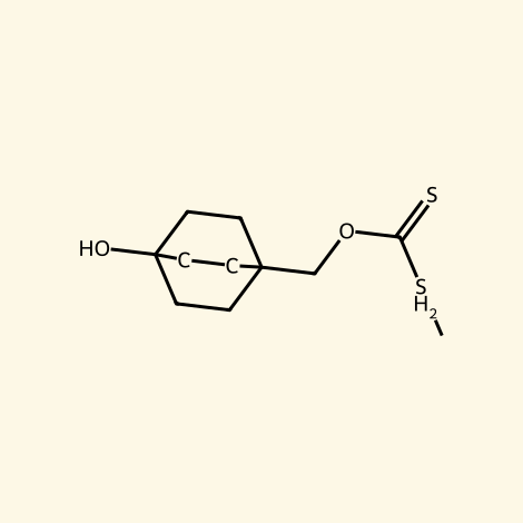 C[SH2]C(=S)OCC12CCC(O)(CC1)CC2